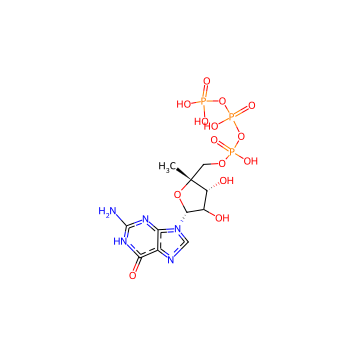 C[C@]1(COP(=O)(O)OP(=O)(O)OP(=O)(O)O)O[C@@H](n2cnc3c(=O)[nH]c(N)nc32)C(O)[C@H]1O